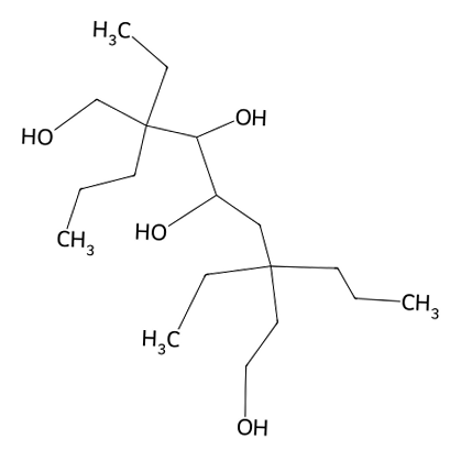 CCCC(CC)(CCO)CC(O)C(O)C(CC)(CO)CCC